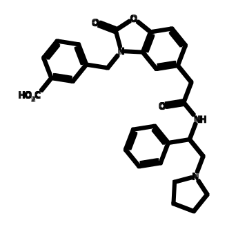 O=C(Cc1ccc2oc(=O)n(Cc3cccc(C(=O)O)c3)c2c1)NC(CN1CCCC1)c1ccccc1